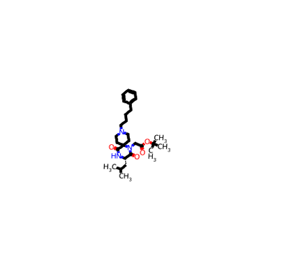 CC(C)C[C@@H]1NC(=O)C2(CCN(CCCCc3ccccc3)CC2)N(CC(=O)OC(C)(C)C)C1=O